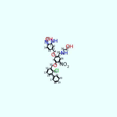 N=C1C=C(COc2cc(OCc3cccc(-c4ccccc4)c3Cl)c([N+](=O)[O-])cc2CNCCO)C=C/C1=N/O